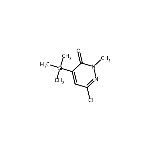 Cn1nc(Cl)cc([Si](C)(C)C)c1=O